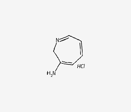 Cl.NC1=CC=CC=NC1